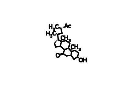 CC(=O)[C@@H](C)C[C@@H](C)[C@H]1CCC2C3C(=O)CC4C[C@H](O)CC[C@]4(C)C3CC[C@@]21C